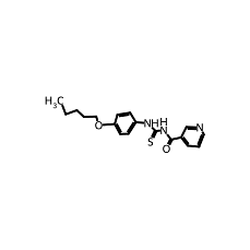 CCCCCOc1ccc(NC(=S)NC(=O)c2cccnc2)cc1